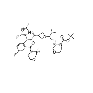 Cc1nc(F)c2c(-c3ccc(F)cc3C(=O)N3CCOC[C@H]3C)cc(C3CN(C(CC[C@H]4COCCN4C(=O)OC(C)(C)C)C(C)C)C3)cn12